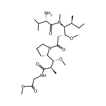 CC[C@H](C)[C@@H]([C@@H](CC(=O)N1CCC[C@H]1[C@H](OC)[C@@H](C)C(=O)NCC(=O)OC)OC)N(C)C(=O)[C@@H](N)C(C)C